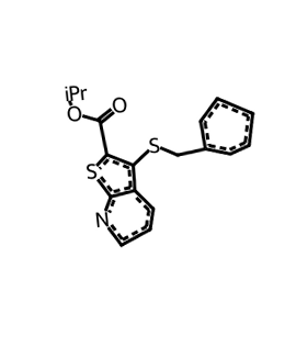 CC(C)OC(=O)c1sc2ncccc2c1SCc1ccccc1